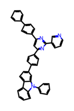 c1ccc(-c2ccc(-c3cc(-c4ccc(-c5ccc6c7ccccc7n(-c7ccccc7)c6c5)cc4)nc(-c4cccnc4)n3)cc2)cc1